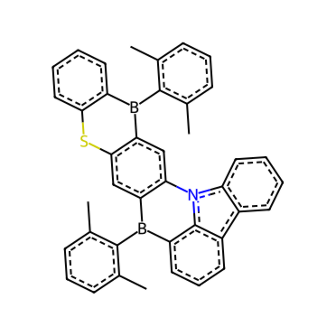 Cc1cccc(C)c1B1c2ccccc2Sc2cc3c(cc21)-n1c2ccccc2c2cccc(c21)B3c1c(C)cccc1C